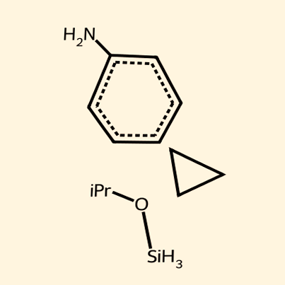 C1CC1.CC(C)O[SiH3].Nc1ccccc1